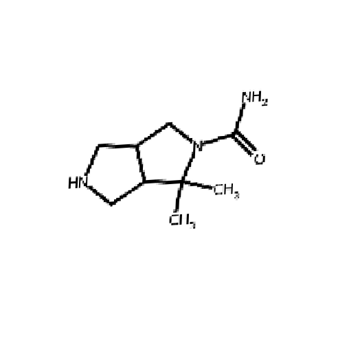 CC1(C)C2CNCC2CN1C(N)=O